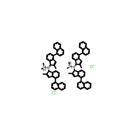 CC1=Cc2c(-c3cccc4ccccc34)cccc2[CH]1[Hf+]([CH]1C(C)=Cc2c(-c3cccc4ccccc34)cccc21)[SiH](C)C.CC1=Cc2c(-c3cccc4ccccc34)cccc2[CH]1[Hf+]([CH]1C(C)=Cc2c(-c3cccc4ccccc34)cccc21)[SiH](C)C.[Cl-].[Cl-]